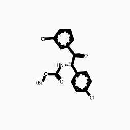 CC(C)(C)OC(=O)N[C@H](C(=O)c1cccc(Cl)c1)c1ccc(Cl)cc1